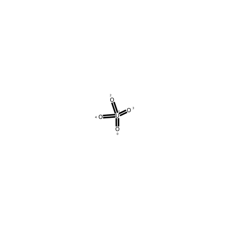 [O]=[U](=[O])(=[O])=[O]